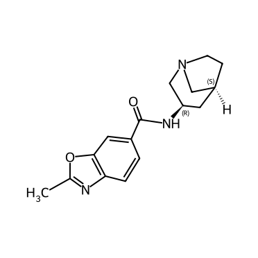 Cc1nc2ccc(C(=O)N[C@@H]3C[C@@H]4CCN(C4)C3)cc2o1